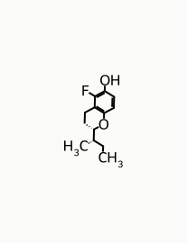 CC[C@H](C)[C@@H]1CCc2c(ccc(O)c2F)O1